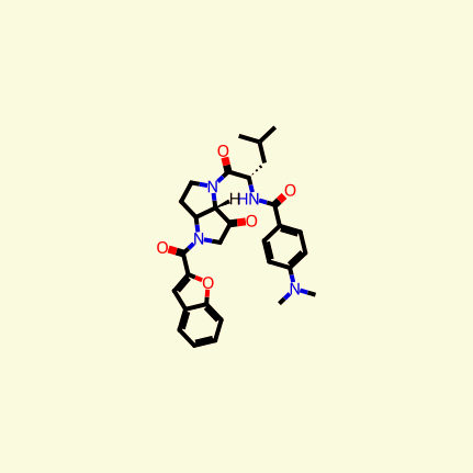 CC(C)C[C@H](NC(=O)c1ccc(N(C)C)cc1)C(=O)N1CCC2[C@H]1C(=O)CN2C(=O)c1cc2ccccc2o1